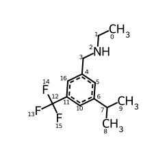 CCNCc1cc(C(C)C)cc(C(F)(F)F)c1